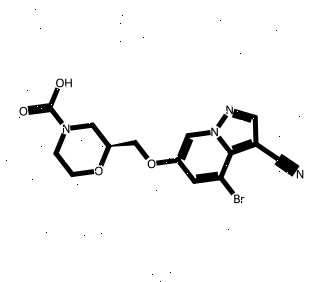 N#Cc1cnn2cc(OC[C@@H]3CN(C(=O)O)CCO3)cc(Br)c12